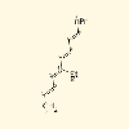 [CH2]/C=C/C=C(/C=C/C=C/CCC)CC